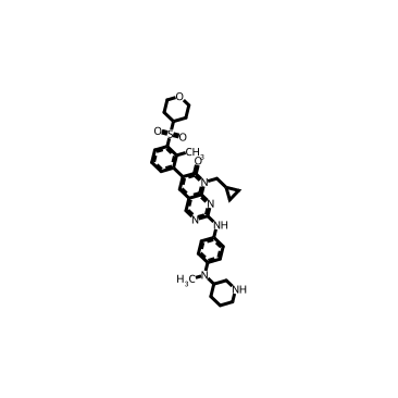 Cc1c(-c2cc3cnc(Nc4ccc(N(C)C5CCCNC5)cc4)nc3n(CC3CC3)c2=O)cccc1S(=O)(=O)C1CCOCC1